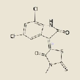 CN1C(=O)/C(=C2/C(=O)Nc3c(Cl)cc(Cl)cc32)SC1=S